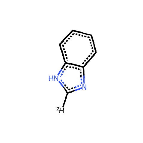 [2H]c1nc2ccccc2[nH]1